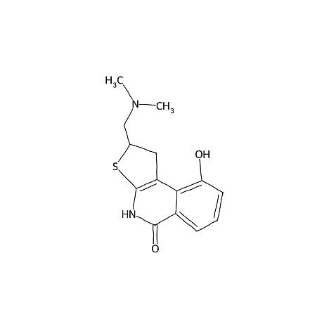 CN(C)CC1Cc2c([nH]c(=O)c3cccc(O)c23)S1